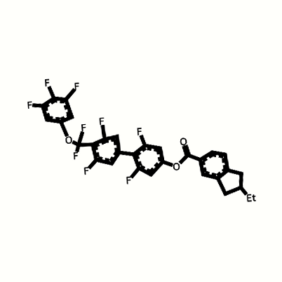 CCC1Cc2ccc(C(=O)Oc3cc(F)c(-c4cc(F)c(C(F)(F)Oc5cc(F)c(F)c(F)c5)c(F)c4)c(F)c3)cc2C1